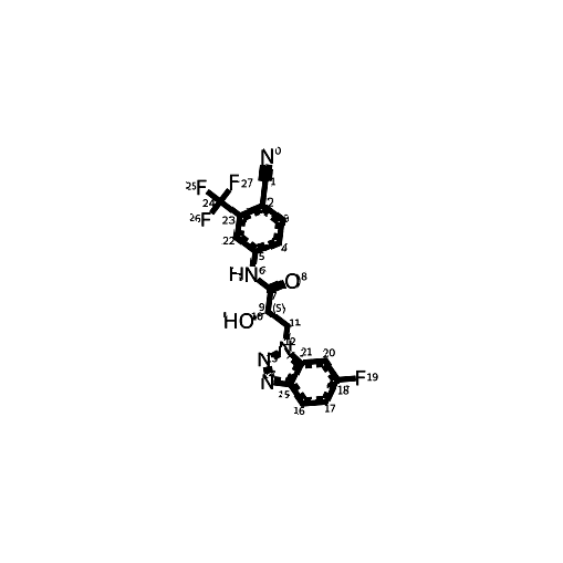 N#Cc1ccc(NC(=O)[C@@H](O)Cn2nnc3ccc(F)cc32)cc1C(F)(F)F